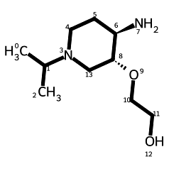 CC(C)N1CC[C@@H](N)[C@H](OCCO)C1